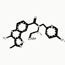 COC[C@@H](C)N(Cc1ccc(C(F)(F)F)cn1)C(=O)c1ccc2nc(N)c3c(C)noc3c2c1